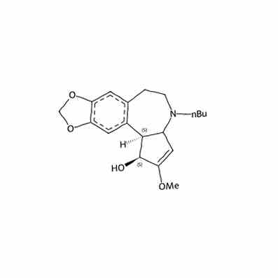 CCCCN1CCc2cc3c(cc2[C@H]2C1C=C(OC)[C@H]2O)OCO3